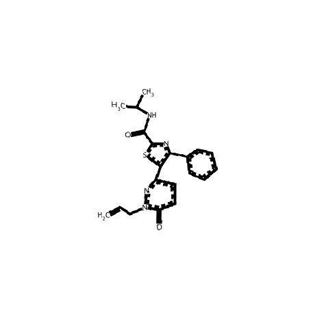 C=CCn1nc(-c2sc(C(=O)NC(C)C)nc2-c2ccccc2)ccc1=O